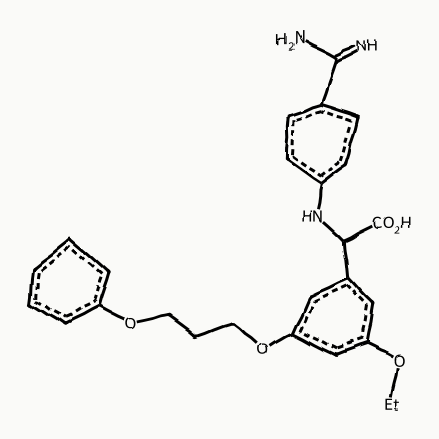 CCOc1cc(OCCCOc2ccccc2)cc(C(Nc2ccc(C(=N)N)cc2)C(=O)O)c1